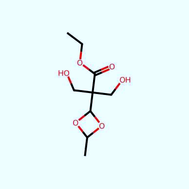 CCOC(=O)C(CO)(CO)C1OC(C)O1